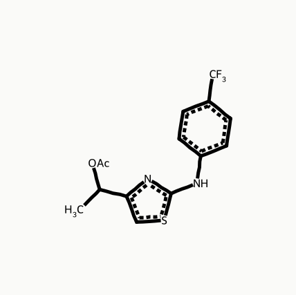 CC(=O)OC(C)c1csc(Nc2ccc(C(F)(F)F)cc2)n1